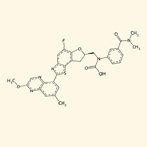 COc1cnc2c(-c3nc4cc(F)c5c(c4s3)C[C@H](CN(C(=O)O)c3cccc(C(=O)N(C)C)c3)O5)cc(C)cc2n1